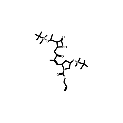 C=CCOC(=O)N1CC(O[Si](C)(C)C(C)(C)C)CC1C=C(C)C(=O)CC1NC(=O)C1C(C)O[Si](C)(C)C(C)(C)C